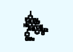 CCC(=O)Nc1cccc(Oc2cc(=O)n(C)c(Nc3ccc(I)cc3F)c2C(=N)NCc2ccc(OC)cc2)c1C